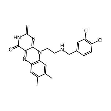 C=c1nc2c(c(=O)[nH]1)=Nc1cc(C)c(C)cc1N2CCNCc1ccc(Cl)c(Cl)c1